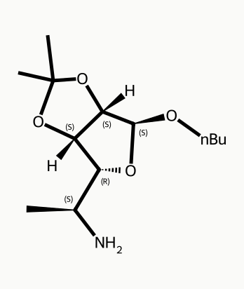 CCCCO[C@H]1O[C@H]([C@H](C)N)[C@@H]2OC(C)(C)O[C@H]12